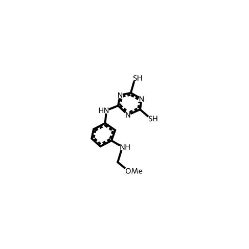 COCNc1cccc(Nc2nc(S)nc(S)n2)c1